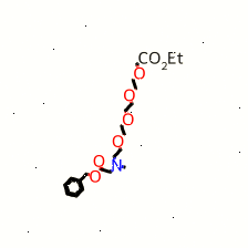 CCOC(=O)COCCOCCOCCOCCN(C)CC(=O)OCc1ccccc1